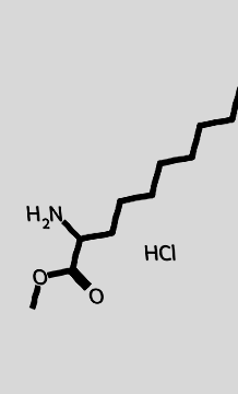 CCCCCCCCC(N)C(=O)OC.Cl